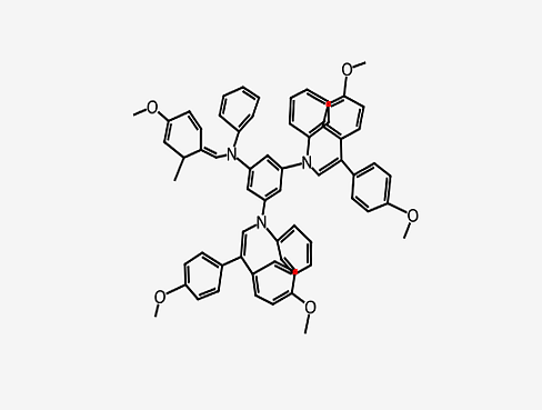 COC1=CC(C)/C(=C/N(c2ccccc2)c2cc(N(C=C(c3ccc(OC)cc3)c3ccc(OC)cc3)c3ccccc3)cc(N(C=C(c3ccc(OC)cc3)c3ccc(OC)cc3)c3ccccc3)c2)C=C1